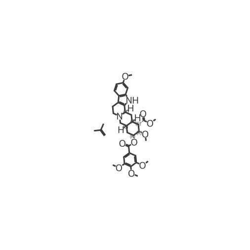 C=C(C)C.COC(=O)[C@H]1[C@H]2C[C@@H]3c4[nH]c5cc(OC)ccc5c4CCN3C[C@H]2C[C@@H](OC(=O)c2cc(OC)c(OC)c(OC)c2)[C@@H]1OC